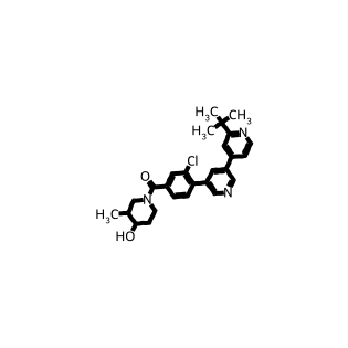 CC1CN(C(=O)c2ccc(-c3cncc(-c4ccnc(C(C)(C)C)c4)c3)c(Cl)c2)CCC1O